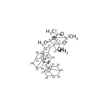 CC12CC3(C)OC(C)(CC(C)(O1)C3(CP)C1CCC1CP(C13CC4CC(CC(C4)C1)C3)C13CC4CC(CC(C4)C1)C3)O2